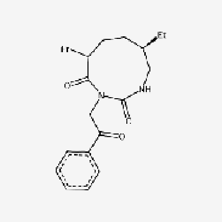 CC[C@@H]1CCC(C(C)C)C(=O)N(CC(=O)c2ccccc2)C(=O)NC1